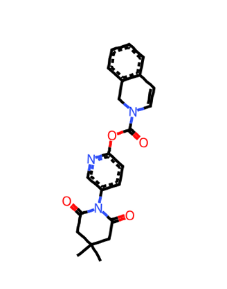 CC1(C)CC(=O)N(c2ccc(OC(=O)N3C=Cc4ccccc4C3)nc2)C(=O)C1